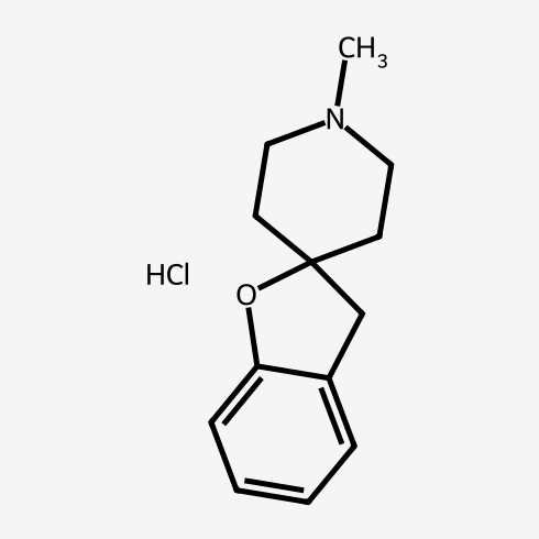 CN1CCC2(CC1)Cc1ccccc1O2.Cl